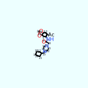 CC(=O)c1cc2c(cc1NC(=O)CN1CCN(Cc3ccccc3)CC1)OCO2